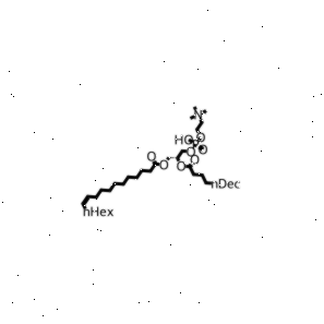 CCCCCC/C=C\CCCCCCCCCC(=O)OC[C@H](COP(=O)(O)OCC[N+](C)(C)C)OC(=O)CCCCCCCCCCCCC